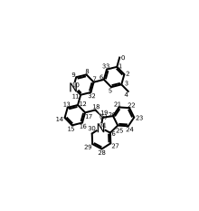 Cc1cc(C)cc(-c2ccnc(-c3ccccc3C[C@H]3c4ccccc4C4=CC=CCN43)c2)c1